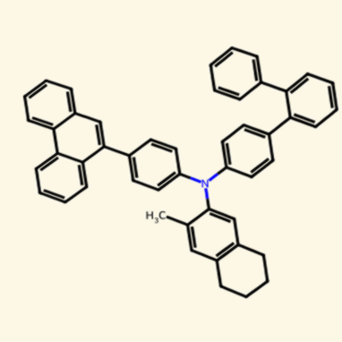 Cc1cc2c(cc1N(c1ccc(-c3ccccc3-c3ccccc3)cc1)c1ccc(-c3cc4ccccc4c4ccccc34)cc1)CCCC2